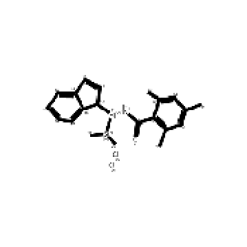 Cc1cc(C)c(C(=O)[NH][Hf+2]([CH]2C=Cc3ccccc32)[SiH](C)C)c(C)c1.[Cl-].[Cl-]